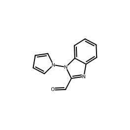 O=Cc1nc2ccccc2n1-n1cccc1